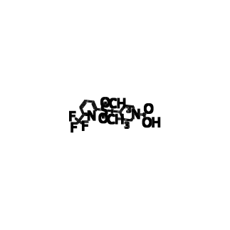 CC(C)(C1CCN(C(=O)O)CC1)S(=O)(=O)c1cccc(C(F)(F)F)n1